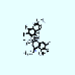 C/C=C1\C[C@](O)(C(F)(F)F)[C@@H](Nc2cc(F)c(F)c3nc(C)ncc23)c2cc(Cl)c(F)c(O)c21